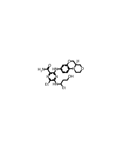 CCc1nc(C(N)=O)c(Nc2ccc3c(c2)OC[C@H]2COCCN32)nc1NC(CC)CCO